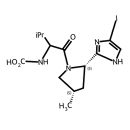 CC(C)C(NC(=O)O)C(=O)N1C[C@@H](C)C[C@H]1c1nc(I)c[nH]1